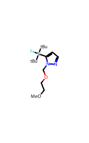 COCCOCn1nccc1[Si](F)(C(C)(C)C)C(C)(C)C